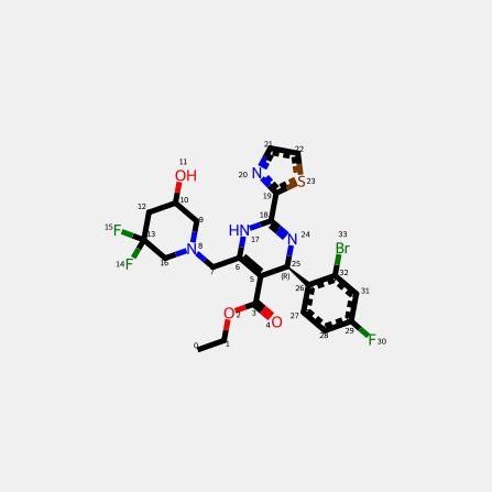 CCOC(=O)C1=C(CN2CC(O)CC(F)(F)C2)NC(c2nccs2)=N[C@H]1c1ccc(F)cc1Br